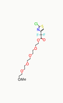 COCCOCCOCCOCCOCCOC(=O)C(F)(F)c1csc(Cl)n1